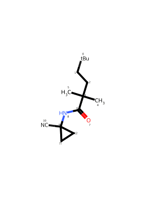 CC(C)(C)CCC(C)(C)C(=O)NC1(C#N)CC1